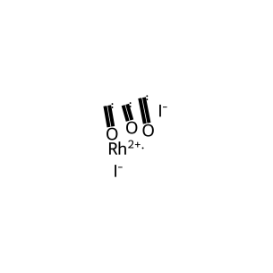 [C]=O.[C]=O.[C]=O.[I-].[I-].[Rh+2]